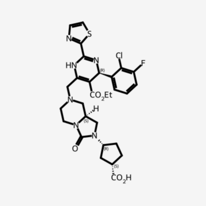 CCOC(=O)C1=C(CN2CCN3C(=O)N([C@@H]4CC[C@H](C(=O)O)C4)C[C@@H]3C2)NC(c2nccs2)=N[C@H]1c1cccc(F)c1Cl